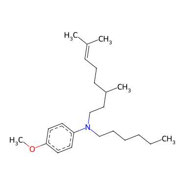 CCCCCCN(CCC(C)CCC=C(C)C)c1ccc(OC)cc1